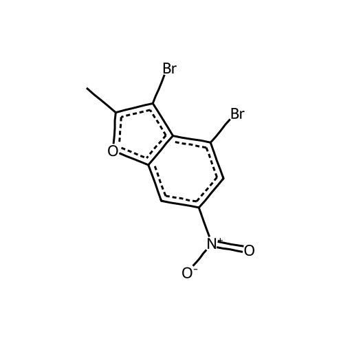 Cc1oc2cc([N+](=O)[O-])cc(Br)c2c1Br